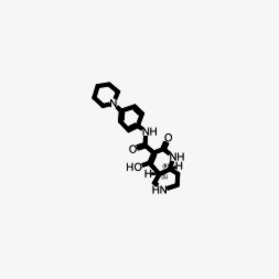 O=C(Nc1ccc(N2CCCCC2)cc1)C1=C(O)[C@H]2CNCC[C@H]2NC1=O